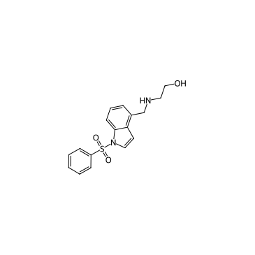 O=S(=O)(c1ccccc1)n1ccc2c(CNCCO)cccc21